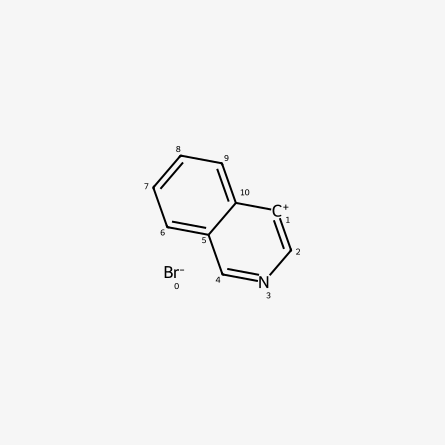 [Br-].[C+]1=CN=Cc2ccccc21